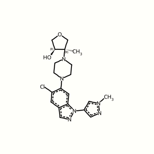 Cn1cc(-n2ncc3cc(Cl)c(N4CCN([C@]5(C)COC[C@@H]5O)CC4)cc32)cn1